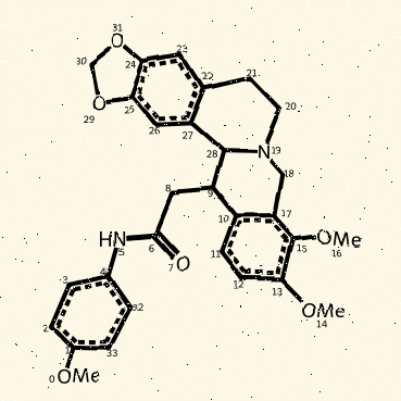 COc1ccc(NC(=O)CC2c3ccc(OC)c(OC)c3CN3CCc4cc5c(cc4C23)OCO5)cc1